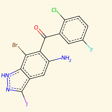 Nc1cc2c(I)n[nH]c2c(Br)c1C(=O)c1cc(F)ccc1Cl